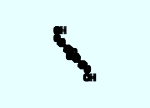 O=S(=O)(c1ccc(-c2ccc(OCCO)cc2)cc1)c1ccc(-c2ccc(OCCO)cc2)cc1